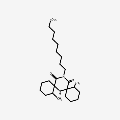 CCCCCCCCCCCCCCCCCCN1C(=O)C2(CCCCC2C)NC2(CCCCC2C)C1=O